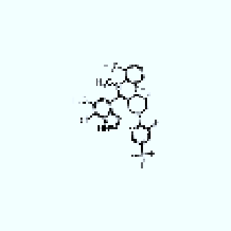 Cc1cccc(C)c1N(C)/C(=C1\CCCN(c2ncc(C(F)(F)F)cc2F)C1)c1cc(C)c(Cl)c2[nH]ccc12